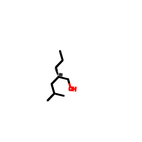 CCC[C@H](CO)CC(C)C